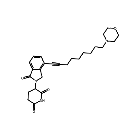 O=C1CCC(N2Cc3c(C#CCCCCCCCN4CCOCC4)cccc3C2=O)C(=O)N1